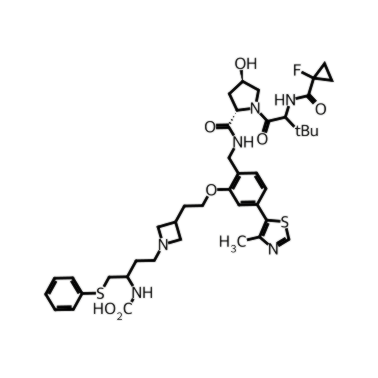 Cc1ncsc1-c1ccc(CNC(=O)[C@@H]2C[C@@H](O)CN2C(=O)C(NC(=O)C2(F)CC2)C(C)(C)C)c(OCCC2CN(CCC(CSc3ccccc3)NC(=O)O)C2)c1